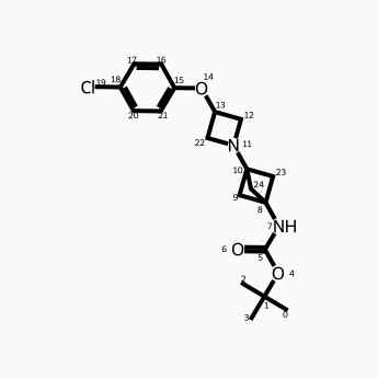 CC(C)(C)OC(=O)NC12CC(N3CC(Oc4ccc(Cl)cc4)C3)(C1)C2